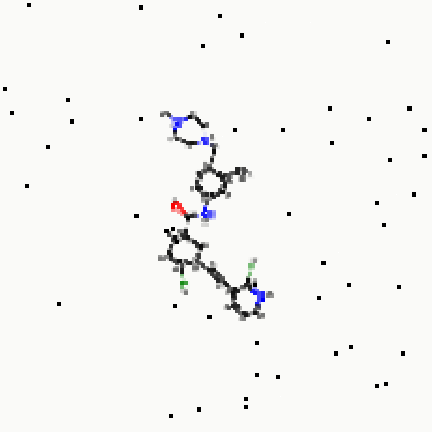 CN1CCN(Cc2ccc(NC(=O)c3ccc(Cl)c(C#Cc4cccnc4F)c3)cc2C(F)(F)F)CC1